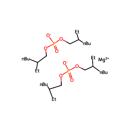 CCCCC(CC)COP(=O)([O-])OCC(CC)CCCC.CCCCC(CC)COP(=O)([O-])OCC(CC)CCCC.[Mg+2]